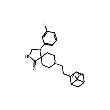 CC1(C)C2CCC(CCN3CCC4(CC3)C(=O)NCN4c3cccc(F)c3)C1C2